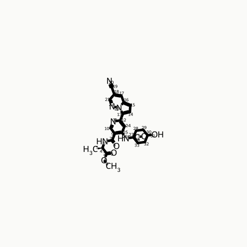 COC(=O)[C@@H](C)NC(=O)c1cnc(-c2ccc3cc(C#N)cnn23)cc1NC12CCC(O)(CC1)CC2